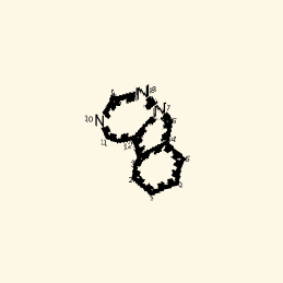 c1ccc2c(c1)cn1ncncc21